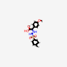 COc1ccc(C(NNS(=O)(=O)c2ccc(C)cc2)C(=O)O)cc1